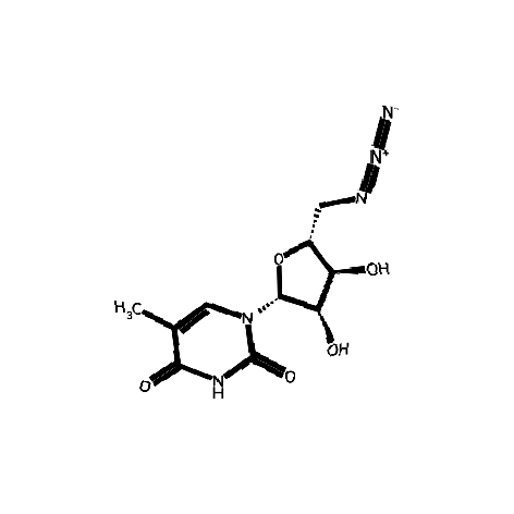 Cc1cn([C@@H]2O[C@H](CN=[N+]=[N-])[C@@H](O)[C@H]2O)c(=O)[nH]c1=O